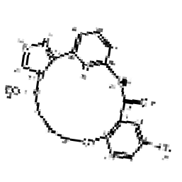 C[C@H]1CCCOc2ncc(C#N)cc2C(=O)Nc2cccc(n2)-c2nncn21